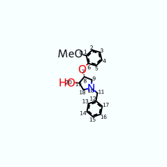 COc1ccccc1O[C@@H]1CN(Cc2ccccc2)C[C@H]1O